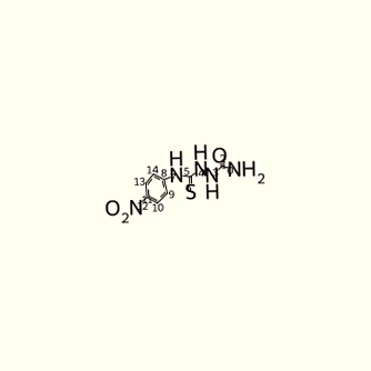 NC(=O)NNC(=S)Nc1ccc([N+](=O)[O-])cc1